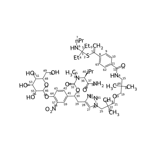 C=C(SC(CC)(CC)NCCC)c1ccc(C(=O)NCC(C)(C)COCC(C)(C)Cn2cc(CC(OC(=O)N(C)[C@H](C(N)=O)C(C)C)c3ccc(OC4OC(CO)C(O)C(O)C4O)c([N+](=O)[O-])c3)nn2)cc1